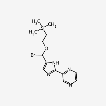 C[Si](C)(C)CCOC(Br)c1cnc(-c2cnccn2)[nH]1